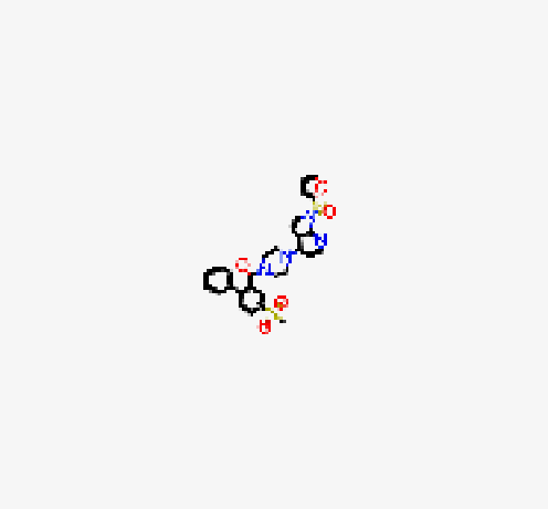 CS(=O)(=O)c1ccc(-c2ccccc2)c(C(=O)N2CCN(c3ccnc4c3ccn4[S+]([O-])c3ccco3)CC2)c1